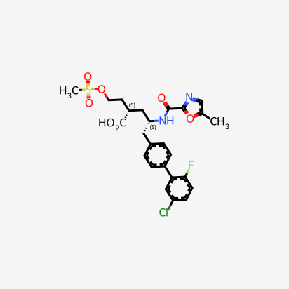 Cc1cnc(C(=O)N[C@H](Cc2ccc(-c3cc(Cl)ccc3F)cc2)C[C@@H](CCOS(C)(=O)=O)C(=O)O)o1